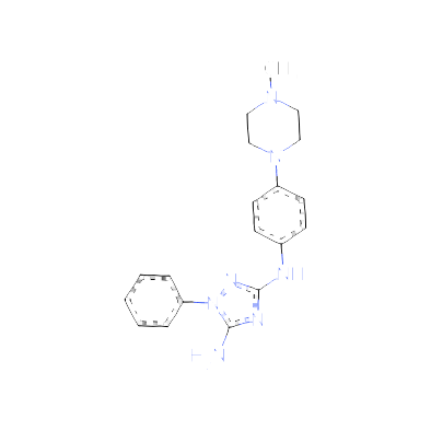 CN1CCN(c2ccc(Nc3nc(N)n(-c4ccccc4)n3)cc2)CC1